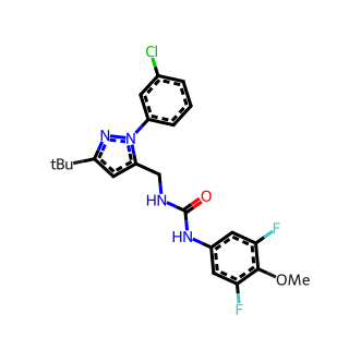 COc1c(F)cc(NC(=O)NCc2cc(C(C)(C)C)nn2-c2cccc(Cl)c2)cc1F